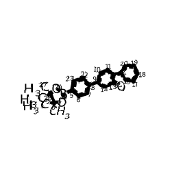 CC1(C)OB(c2ccc(-c3ccc4c(c3)oc3ccccc34)cc2)OC1(C)C